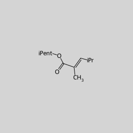 CCCC(C)OC(=O)C(C)=CC(C)C